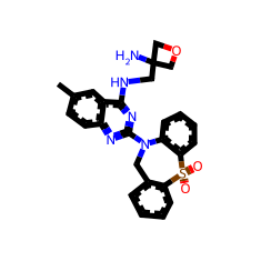 Cc1ccc2nc(N3Cc4ccccc4S(=O)(=O)c4ccccc43)nc(NCC3(N)COC3)c2c1